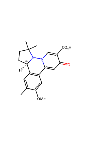 COc1cc2c(cc1C)[C@H]1CCC(C)(C)N1n1cc(C(=O)O)c(=O)cc1-2